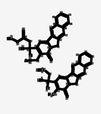 CCC(O)(CC(=O)O)c1cc2n(c(=O)c1C)Cc1cc3ccccc3nc1-2.CCC(O)(CC(=O)OC(C)(C)C)c1cc2n(c(=O)c1COC(C)=O)Cc1cc3ccccc3nc1-2